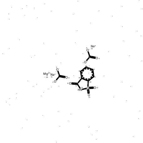 O=C([O-])[O-].O=C([O-])[O-].O=C1NS(=O)(=O)c2ccccc21.[Mg+2].[Na+].[Na+]